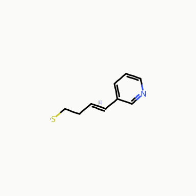 [S]CC/C=C/c1cccnc1